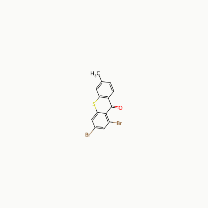 Cc1ccc2c(=O)c3c(Br)cc(Br)cc3sc2c1